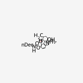 C=C1CC[C@@]2(O)[C@H]3Cc4ccc(OC(=O)NCCCCCCCCCC)c5c4[C@@]2(CCN3CC2CC2)[C@H]1O5